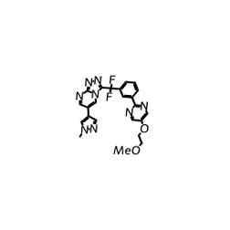 COCCOc1cnc(-c2cccc(C(F)(F)c3nnc4ncc(-c5cnn(C)c5)cn34)c2)nc1